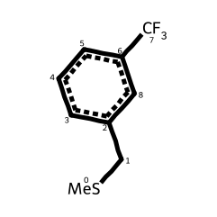 CSCc1c[c]cc(C(F)(F)F)c1